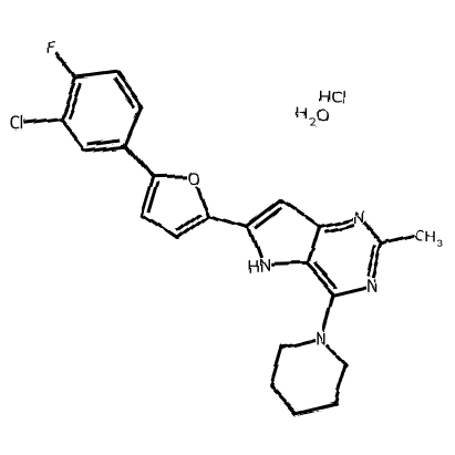 Cc1nc(N2CCCCC2)c2[nH]c(-c3ccc(-c4ccc(F)c(Cl)c4)o3)cc2n1.Cl.O